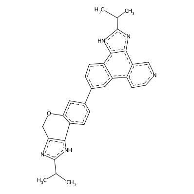 CC(C)c1nc2c([nH]1)-c1ccc(-c3ccc4c(c3)c3ccncc3c3nc(C(C)C)[nH]c43)cc1OC2